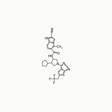 Cc1c(C(=O)NC2CN(c3ncnc4sc(CC(F)(F)F)cc34)CC2C2CCCC2)ccc2[nH]c(C#N)cc12